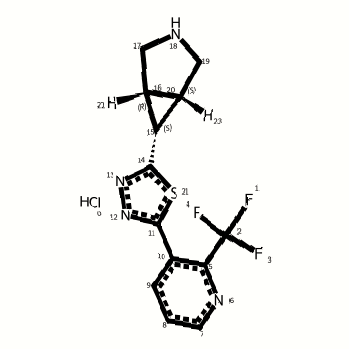 Cl.FC(F)(F)c1ncccc1-c1nnc([C@@H]2[C@@H]3CNC[C@@H]32)s1